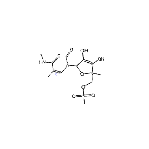 CNC(=O)/C(C)=C\N(C=O)C1OC(C)(COS(C)(=O)=O)C(O)=C1O